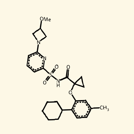 COC1CN(c2cccc(S(=O)(=O)NC(=O)C3(Oc4cc(C)ccc4C4CCCCC4)CC3)n2)C1